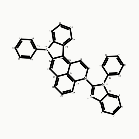 C1=CN(c2nc3ccccc3n2-c2ccccc2)c2cccc3cc4c(c1c23)c1ccccc1n4-c1ccccc1